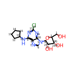 OCC1OC(n2cnc3c(NC4CCCC4)nc(Cl)nc32)[C@@H](O)[C@H]1O